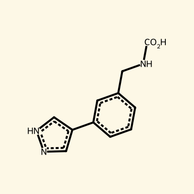 O=C(O)NCc1cccc(-c2cn[nH]c2)c1